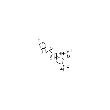 CN(C)C(=O)[C@H]1CCC(NC(=S)C(=O)Nc2ccc(F)cn2)C(NC(=O)O)C1